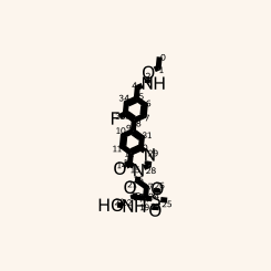 CCONCc1ccc(-c2ccc3c(=O)n(CC[C@](C)(C(=O)NO)S(C)(=O)=O)cnc3c2)c(F)c1